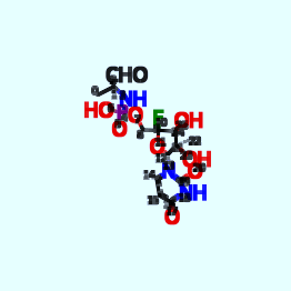 C[C@@H](C=O)NP(=O)(O)OC[C@@]1(F)O[C@@H](n2ccc(=O)[nH]c2=O)[C@](C)(O)[C@@H]1O